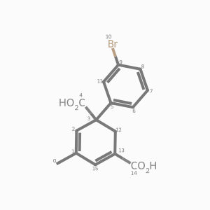 CC1=CC(C(=O)O)(c2cccc(Br)c2)CC(C(=O)O)=C1